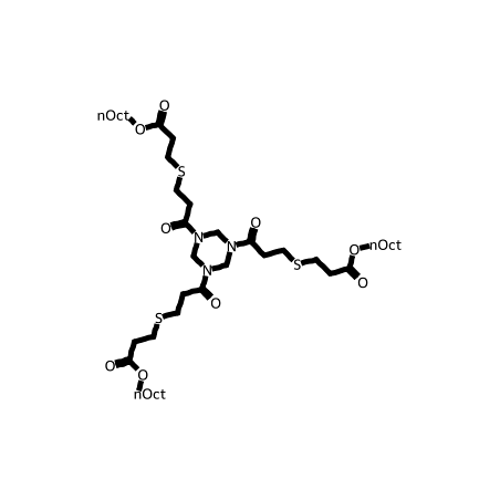 CCCCCCCCOC(=O)CCSCCC(=O)N1CN(C(=O)CCSCCC(=O)OCCCCCCCC)CN(C(=O)CCSCCC(=O)OCCCCCCCC)C1